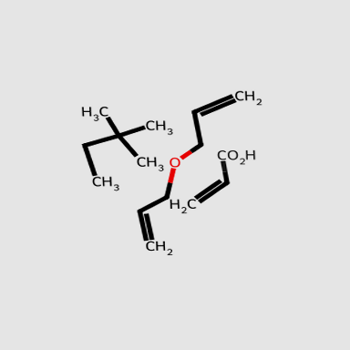 C=CC(=O)O.C=CCOCC=C.CCC(C)(C)C